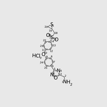 Cl.NCc1nc(-c2ccc(Oc3ccc(S(=O)(=O)CC4CS4)cc3)cc2)no1